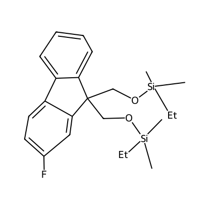 CC[Si](C)(C)OCC1(CO[Si](C)(C)CC)c2ccccc2-c2ccc(F)cc21